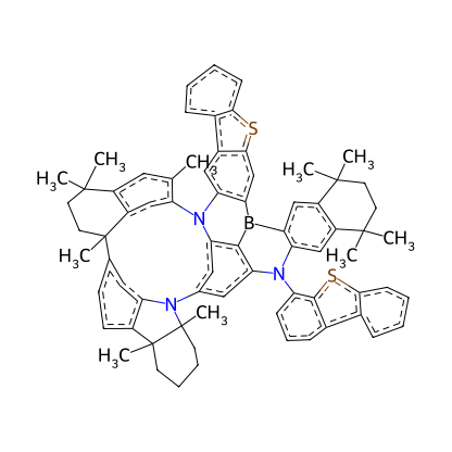 Cc1cc2c3cc1N1c4cc5c(cc4B4c6cc7c(cc6N(c6cccc8c6sc6ccccc68)c6cc(cc1c64)N1c4cc(ccc4C4(C)CCCCC14C)C3(C)CCC2(C)C)C(C)(C)CCC7(C)C)sc1ccccc15